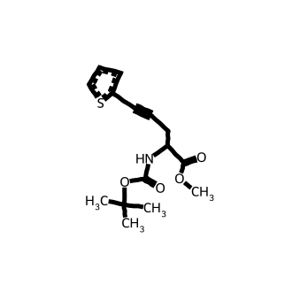 COC(=O)C(CC#Cc1cccs1)NC(=O)OC(C)(C)C